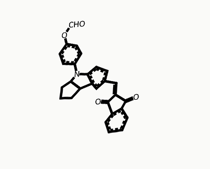 O=COc1ccc(N2c3ccc(C=C4C(=O)c5ccccc5C4=O)cc3C3CCCC32)cc1